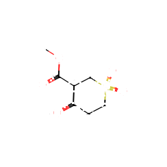 COC(=O)C1CS(=O)(=O)CCC1=O